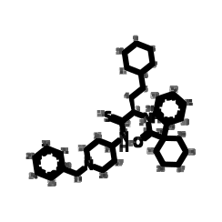 O=C(N[C@H](CCC1CCCCC1)C(=S)NC1CCN(Cc2ccccc2)CC1)C1(c2ccccc2)CCCCC1